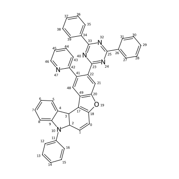 C1=CC2C(c3ccccc3N2c2ccccc2)c2c1oc1cc(-c3nc(-c4ccccc4)nc(-c4ccccc4)n3)c(-c3ccccn3)cc21